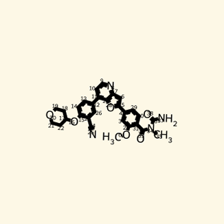 COc1cc(-c2cc3nccc(-c4ccc(OC5CCOCC5)c(C#N)c4)c3o2)ccc1C(=O)N(C)C(N)=O